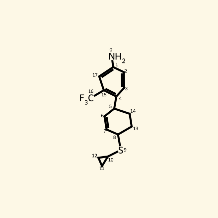 Nc1ccc(C2C=CC(SC3CC3)CC2)c(C(F)(F)F)c1